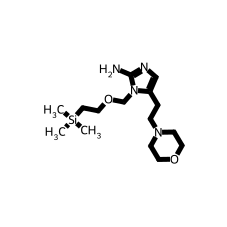 C[Si](C)(C)CCOCn1c(CCN2CCOCC2)cnc1N